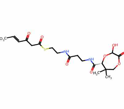 CC1(C)COC(=O)C(O)O[C@H]1C(=O)NCCC(=O)NCCSC(=O)CC(=O)/C=C/C(=O)O